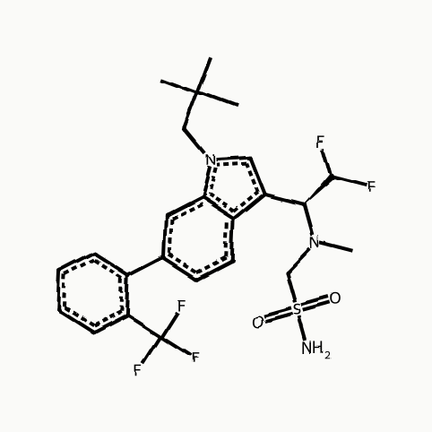 CN(CS(N)(=O)=O)[C@@H](c1cn(CC(C)(C)C)c2cc(-c3ccccc3C(F)(F)F)ccc12)C(F)F